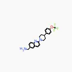 NCc1ccc2nc(N3CCC(c4ccc(OC(F)(F)F)cc4)CC3)ccc2c1